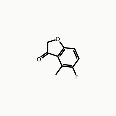 Cc1c(F)ccc2c1C(=O)CO2